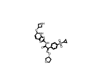 O=C(Nc1nc2c(s1)NC(OC1CNC1)C=C2)/C(=N/O[C@@H]1CCOC1)c1ccc(S(=O)(=O)C2CC2)cc1